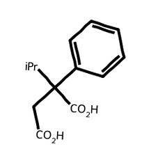 CC(C)C(CC(=O)O)(C(=O)O)c1ccccc1